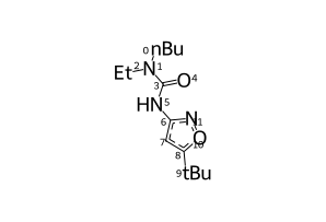 CCCCN(CC)C(=O)Nc1cc(C(C)(C)C)on1